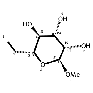 CO[C@H]1O[C@H](CI)[C@@H](O)[C@H](O)[C@@H]1O